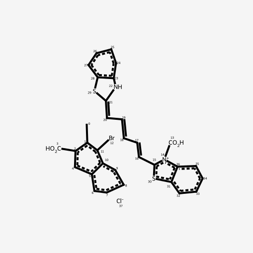 Cc1c(C(=O)O)cc2ccccc2c1Br.O=C(O)[n+]1c(C=CC=CC=C2Nc3ccccc3S2)sc2ccccc21.[Cl-]